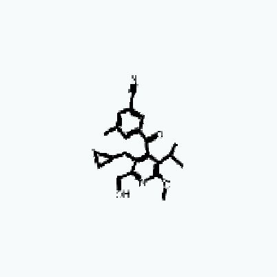 COc1nc(CO)c(CC2CC2)c(C(=O)c2cc(C)cc(C#N)c2)c1C(C)C